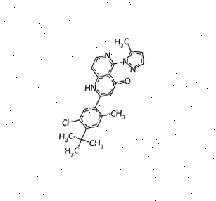 Cc1cc(C(C)(C)C)c(Cl)cc1-c1cc(=O)c2c(-n3nccc3C)nccc2[nH]1